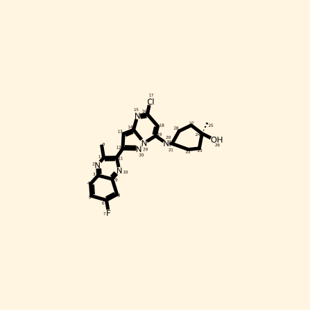 Cc1nc2ccc(F)cc2nc1-c1cc2nc(Cl)cc(N[C@H]3CC[C@](C)(O)CC3)n2n1